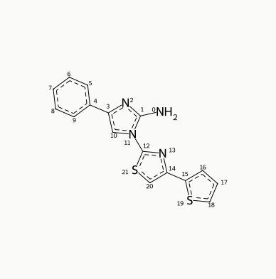 Nc1nc(-c2ccccc2)cn1-c1nc(-c2cccs2)cs1